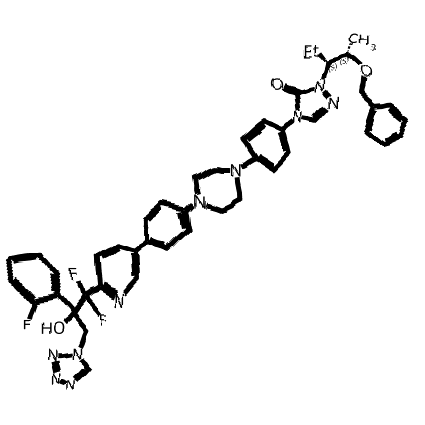 CC[C@@H]([C@H](C)OCc1ccccc1)n1ncn(-c2ccc(N3CCN(c4ccc(-c5ccc(C(F)(F)C(O)(Cn6cnnn6)c6ccccc6F)nc5)cc4)CC3)cc2)c1=O